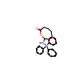 CN(C1CCCCCC(=O)O1)[Si](c1ccccc1)(c1ccccc1)c1ccccc1